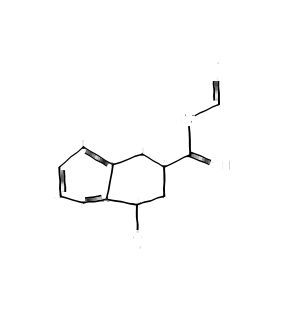 C=C(NC=O)C1Cc2ccccc2C(O)C1